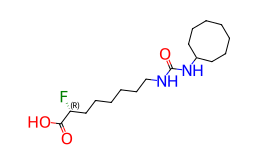 O=C(NCCCCCC[C@@H](F)C(=O)O)NC1CCCCCCC1